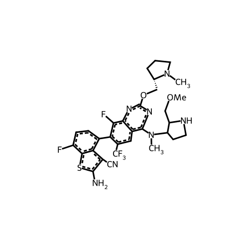 COCC1NCCC1N(C)c1nc(OC[C@@H]2CCCN2C)nc2c(F)c(-c3ccc(F)c4sc(N)c(C#N)c34)c(C(F)(F)F)cc12